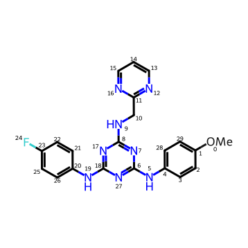 COc1ccc(Nc2nc(NCc3ncccn3)nc(Nc3ccc(F)cc3)n2)cc1